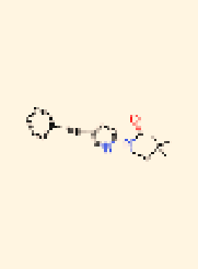 CC1(C)CCN(c2ccc(C#Cc3ccccc3)cn2)C(=O)C1